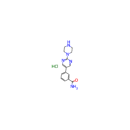 Cl.NC(=O)c1cccc(-c2cnc(N3CCNCC3)nc2)c1